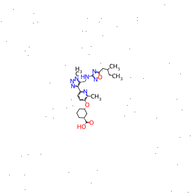 CCC(C)Cc1nc(NCc2c(-c3ccc(O[C@H]4CCC[C@H](C(=O)O)C4)c(C)n3)nnn2C)no1